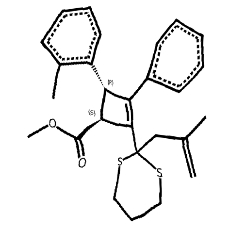 C=C(C)CC1(C2=C(c3ccccc3)[C@@H](c3ccccc3C)[C@@H]2C(=O)OC)SCCCS1